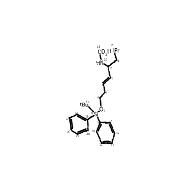 CC(C)CC(C=CCCO[Si](c1ccccc1)(c1ccccc1)C(C)(C)C)NC(=O)O